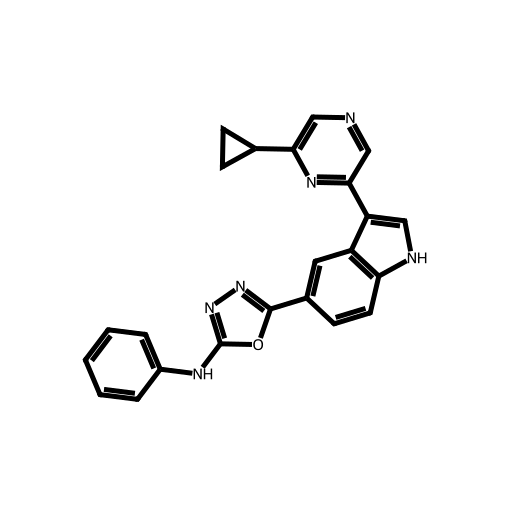 c1ccc(Nc2nnc(-c3ccc4[nH]cc(-c5cncc(C6CC6)n5)c4c3)o2)cc1